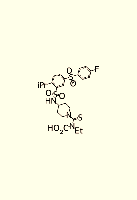 CCN(C(=O)O)C(=S)N1CCC(NS(=O)(=O)c2cc(S(=O)(=O)c3ccc(F)cc3)ccc2C(C)C)CC1